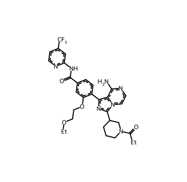 CCOCCOc1cc(C(=O)Nc2cc(C(F)(F)F)ccn2)ccc1-c1nc(C2CCCN(C(=O)CC)C2)n2ccnc(N)c12